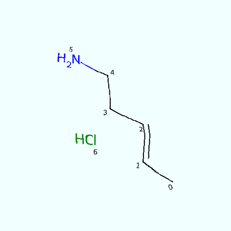 C/C=C/CCN.Cl